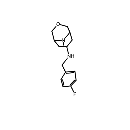 CN1C2COCC1CC(NCc1ccc(F)cc1)C2